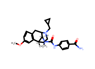 COc1ccc2c(c1)[C@@]1(C)CCN(CC3CC3)C(C2)[C@H]1N(C)C(=O)Nc1ccc(C(N)=O)cc1